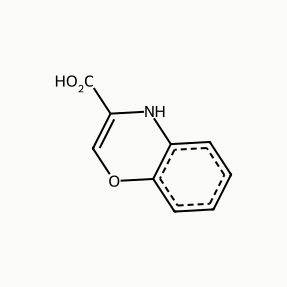 O=C(O)C1=COc2ccccc2N1